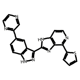 c1csc(-c2nccc3[nH]c(-c4n[nH]c5ccc(-c6cnccn6)cc45)nc23)c1